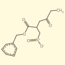 CCC(=O)CC(C[N+](=O)[O-])C(=O)OCc1ccccc1